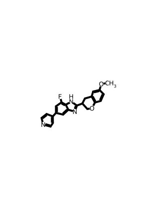 COc1ccc2c(c1)CC(c1nc3cc(-c4ccncc4)cc(F)c3[nH]1)CO2